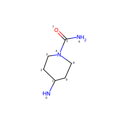 [NH]C1CCN(C(N)=O)CC1